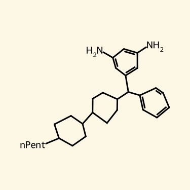 CCCCCC1CCC(C2CCC(C(c3ccccc3)c3cc(N)cc(N)c3)CC2)CC1